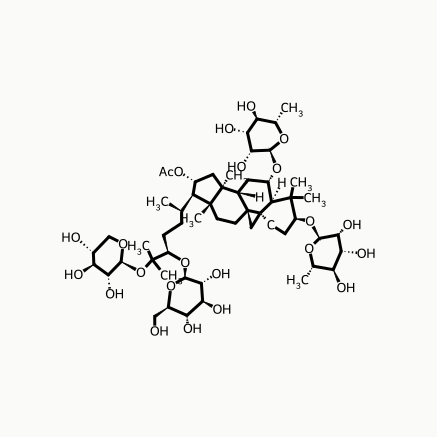 CC(=O)O[C@@H]1C[C@@]2(C)[C@@H]3C[C@H](O[C@@H]4O[C@@H](C)[C@H](O)[C@@H](O)[C@H]4O)[C@H]4C(C)(C)[C@@H](O[C@@H]5O[C@@H](C)[C@H](O)[C@@H](O)[C@H]5O)CC[C@@]45C[C@@]35CC[C@]2(C)[C@H]1[C@H](C)CC[C@@H](O[C@@H]1O[C@H](CO)[C@@H](O)[C@H](O)[C@H]1O)C(C)(C)O[C@@H]1OC[C@@H](O)[C@H](O)[C@H]1O